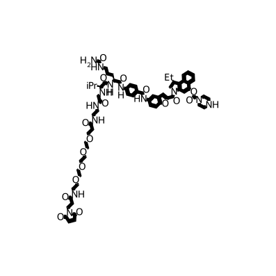 CC[C@@H]1CN(C(=O)c2cc3cc(NC(=O)c4ccc(NC(=O)[C@H](CCCNC(N)=O)NC(=O)[C@@H](NCC(=O)NCCNC(=O)CCOCCOCCOCCOCCNC(=O)CCN5C(=O)C=CC5=O)C(C)C)cc4)ccc3o2)c2cc(OC(=O)N3CCNCC3)c3ccccc3c21